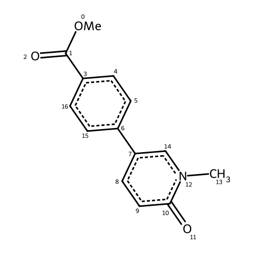 COC(=O)c1ccc(-c2ccc(=O)n(C)c2)cc1